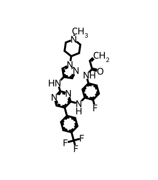 C=CC(=O)Nc1ccc(F)c(Nc2nc(Nc3cnn(C4CCN(C)CC4)c3)ncc2-c2ccc(C(F)(F)F)cc2)c1